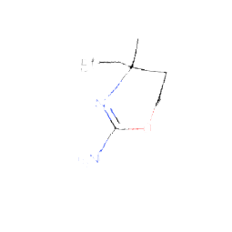 CCC1(C)CCOC(N)=N1